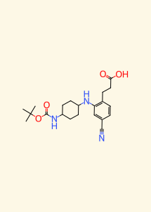 CC(C)(C)OC(=O)NC1CCC(Nc2cc(C#N)ccc2CCC(=O)O)CC1